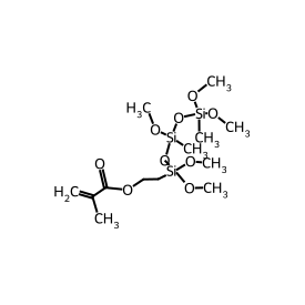 C=C(C)C(=O)OCC[Si](OC)(OC)O[Si](C)(OC)O[Si](C)(OC)OC